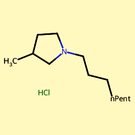 CCCCCCCCN1CCC(C)C1.Cl